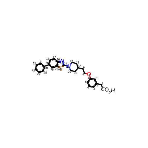 O=C(O)Cc1cccc(OCCC2CCN(c3nc4ccc(-c5ccccc5)cc4s3)CC2)c1